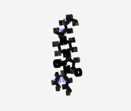 C=C/C=C(\C=C/C)N1C(=O)CC(N2CCN(/C(C)=C/C=C\C)CC2)C1=O